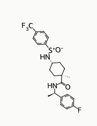 C[C@@H](NC(=O)[C@]1(C)CC[C@@H](N[S+]([O-])c2ccc(C(F)(F)F)cc2)CC1)c1ccc(F)cc1